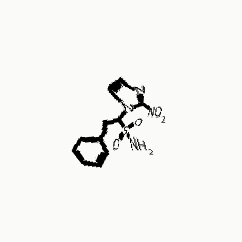 NS(=O)(=O)C(Cc1ccccc1)n1ccnc1[N+](=O)[O-]